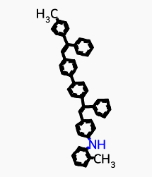 Cc1ccc(C(=Cc2ccc(-c3ccc(C(=Cc4ccc(Nc5ccccc5C)cc4)c4ccccc4)cc3)cc2)c2ccccc2)cc1